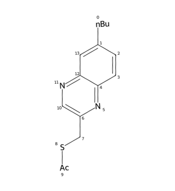 CCCCc1ccc2nc(CSC(C)=O)cnc2c1